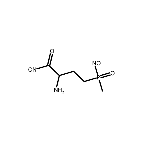 CP(=O)(CCC(N)C(=O)N=O)N=O